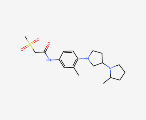 Cc1cc(NC(=O)CS(C)(=O)=O)ccc1N1CCC(N2CCCC2C)C1